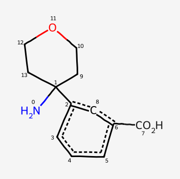 NC1(c2cccc(C(=O)O)c2)CCOCC1